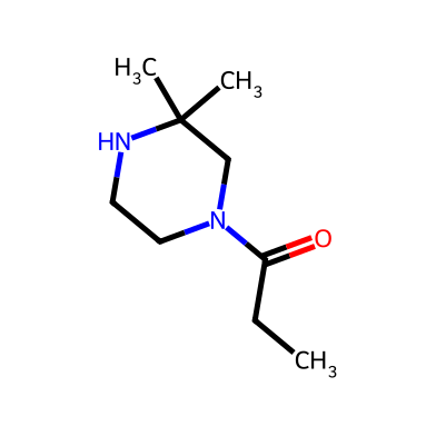 CCC(=O)N1CCNC(C)(C)C1